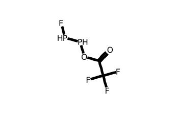 O=C(OPPF)C(F)(F)F